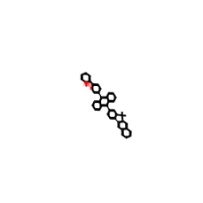 CC1(C)c2cc(-c3c4ccccc4c(-c4ccc5c(c4)oc4ccccc45)c4ccccc34)ccc2-c2cc3ccccc3cc21